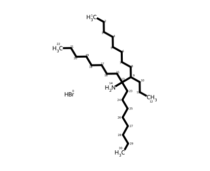 Br.CCCCCCCCC(CCC)C(N)(CCCCCCCC)CCCCCCCC